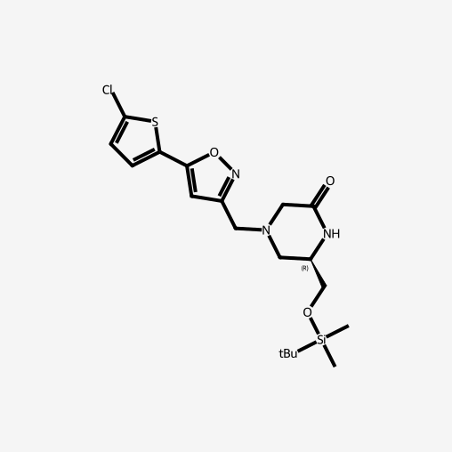 CC(C)(C)[Si](C)(C)OC[C@H]1CN(Cc2cc(-c3ccc(Cl)s3)on2)CC(=O)N1